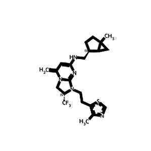 C=C1C=C(NC[C@H]2CCC3(C)CC23)N=C2N1C[C@@H](C(F)(F)F)N2CCc1scnc1C